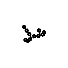 c1ccc(-c2ccc(-c3ccc(N(c4ccc(-c5ccc6c7ccc8ccccc8c7n(-c7ccccc7)c6c5)cc4)c4ccc5ccc6ccccc6c5c4)cc3)cc2)cc1